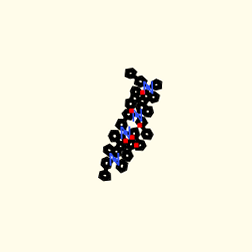 c1ccc(-c2ccc(N(c3ccccc3)c3cc4c(c5ccccc35)-c3c(cc(N(c5ccc(-c6ccccc6)cc5)c5cccc(-c6cccc(N(c7cccc(-c8ccccc8)c7)c7cc8c(c9ccccc79)-c7c(cc(N(c9ccccc9)c9cccc(-c%10ccccc%10)c9)c9ccccc79)C87c8ccccc8-c8ccccc87)c6)c5)c5ccccc35)C43c4ccccc4-c4ccccc43)cc2)cc1